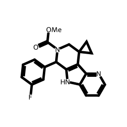 COC(=O)N1CC2(CC2)c2c([nH]c3cccnc23)C1c1cccc(F)c1